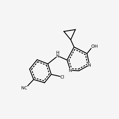 N#Cc1ccc(Nc2ncnc(O)c2C2CC2)c(Cl)c1